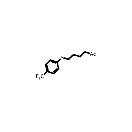 CC(=O)CCCCSc1ccc(C(F)(F)F)cc1